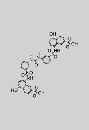 O=C(Nc1cccc(S(=O)(=O)Nc2ccc(O)c3ccc(S(=O)(=O)O)cc23)c1)Nc1cccc(S(=O)(=O)Nc2ccc(O)c3ccc(S(=O)(=O)O)cc23)c1